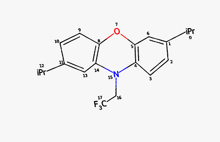 CC(C)c1ccc2c(c1)Oc1ccc(C(C)C)cc1N2CC(F)(F)F